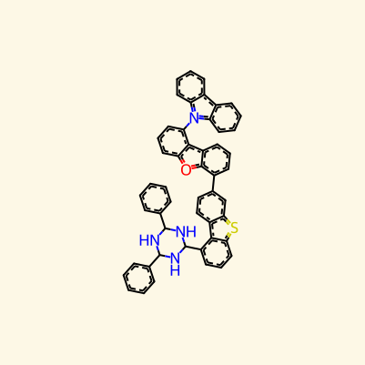 c1ccc(C2NC(c3ccccc3)NC(c3cccc4sc5cc(-c6cccc7c6oc6cccc(-n8c9ccccc9c9ccccc98)c67)ccc5c34)N2)cc1